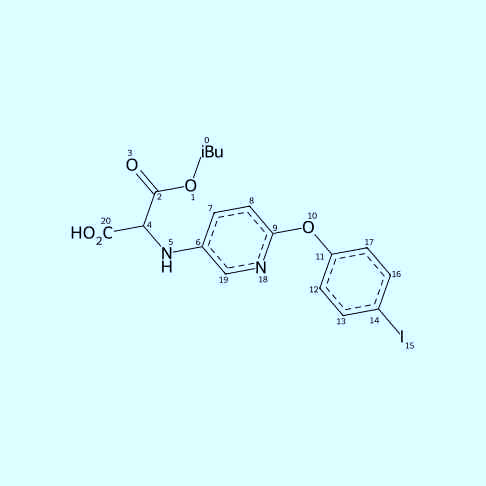 CCC(C)OC(=O)C(Nc1ccc(Oc2ccc(I)cc2)nc1)C(=O)O